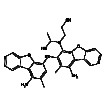 Cc1cc(Nc2c(C)c(N)c3c(oc4ccccc43)c2N(CCO)C(C)O)c2oc3ccccc3c2c1N